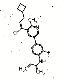 C=CC(=C)Nc1ccc(-c2cnc(C)c(/C(Cl)=C\CC3CCC3)c2)cc1F